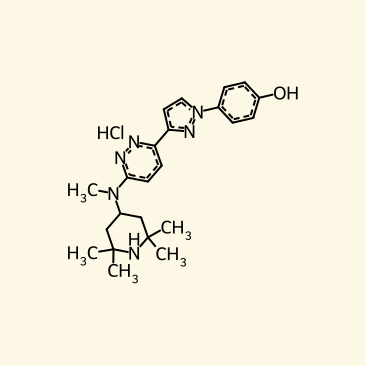 CN(c1ccc(-c2ccn(-c3ccc(O)cc3)n2)nn1)C1CC(C)(C)NC(C)(C)C1.Cl